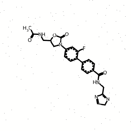 CC(=O)NCC1CN(c2ccc(-c3ccc(C(=O)NCC4=NCC=N4)cc3)c(F)c2)C(=O)O1